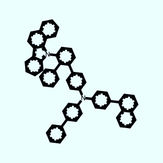 c1ccc(-c2ccc(N(c3ccc(-c4cccc(-n5c6ccccc6c6ccc7ccccc7c65)c4-c4ccccc4)cc3)c3ccc(-c4cccc5ccccc45)cc3)cc2)cc1